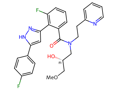 COC[C@H](O)CN(CCc1ccccn1)C(=O)c1cccc(F)c1-c1cc(-c2ccc(F)cc2)[nH]n1